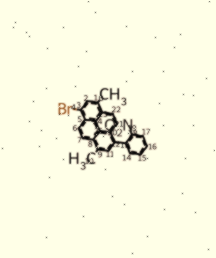 Cc1cc(Br)c2ccc3c(C)cc(-c4ccccc4[N+](=O)[O-])c4ccc1c2c34